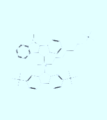 CN1c2ccccc2C2C1C1C=CC=CC1C2[Si](C)(CCCCCCOC(C)(C)C)C1C2C=C(C(C)(C)C)C=CC2C2C=CC(C(C)(C)C)=CC21